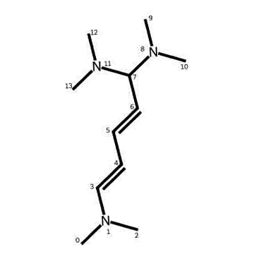 CN(C)/C=C/C=C/C(N(C)C)N(C)C